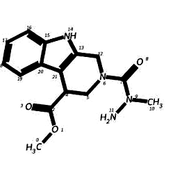 COC(=O)C1CN(C(=O)N(C)N)Cc2[nH]c3ccccc3c21